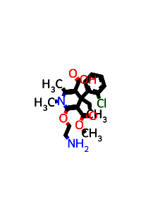 CCC1(c2ccccc2Cl)C(C(=O)O)=C(C)N(C)C(OCCN)=C1C(=O)OC